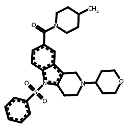 CC1CCN(C(=O)c2ccc3c(c2)c2c(n3S(=O)(=O)c3ccccc3)CCN(C3CCOCC3)C2)CC1